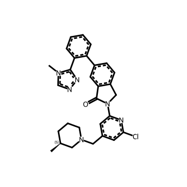 C[C@H]1CCCN(Cc2cc(Cl)nc(N3Cc4ccc(-c5ccccc5-c5nncn5C)cc4C3=O)c2)C1